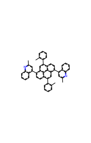 Cc1cc(-c2ccc3c(-c4ccccc4C)cc4c(-c5cc(C)nc6ccccc56)ccc5c(-c6ccccc6C)cc2c3c54)c2ccccc2n1